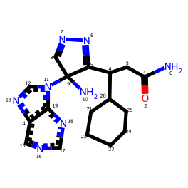 NC(=O)CC(C1=NN=CC1(N)n1cnc2cncnc21)C1CCCCC1